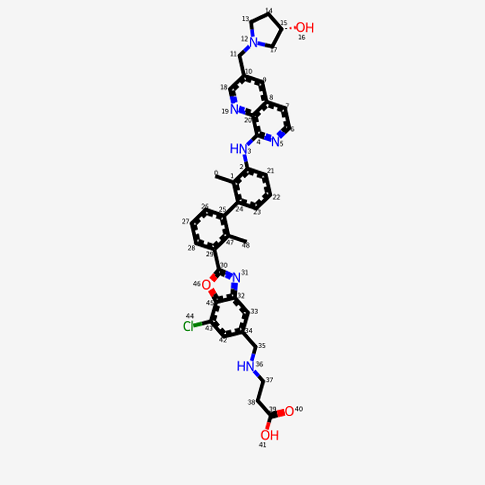 Cc1c(Nc2nccc3cc(CN4CC[C@H](O)C4)cnc23)cccc1-c1cccc(-c2nc3cc(CNCCC(=O)O)cc(Cl)c3o2)c1C